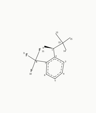 C[C@H](c1ccccc1C(F)(F)F)C(C)(C)C